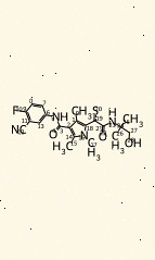 Cc1c(C(=O)Nc2ccc(F)c(C#N)c2)c(C)n(C)c1C(=S)C(=O)NC(C)(C)CO